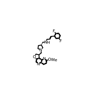 COc1ccc2ncc3c(c2n1)C(CN1CC[C@@H](CNCC=Cc2cc(F)ccc2F)C1)CO3